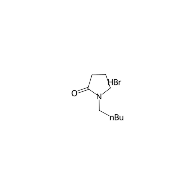 Br.CCCCCN1CCCC1=O